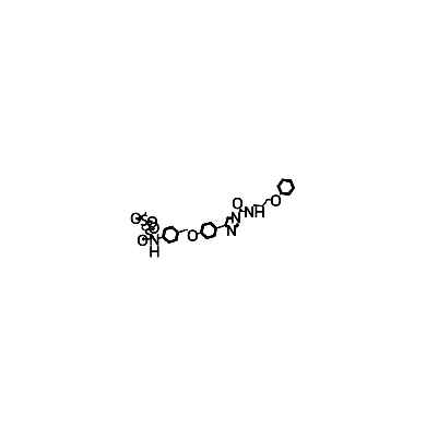 CS(=O)(=O)CS(=O)(=O)Nc1ccc(COc2ccc(-c3cn(C(=O)NCCCOc4ccccc4)cn3)cc2)cc1